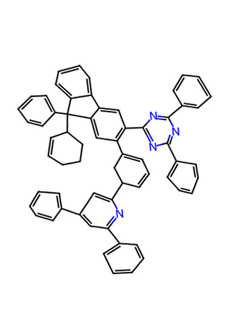 C1=CC(c2cc(-c3ccccc3)cc(-c3ccccc3)n2)CC(c2cc3c(cc2-c2nc(-c4ccccc4)nc(-c4ccccc4)n2)-c2ccccc2C3(c2ccccc2)C2C=CCCC2)=C1